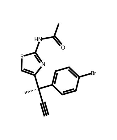 C#C[C@](C)(c1ccc(Br)cc1)c1csc(NC(C)=O)n1